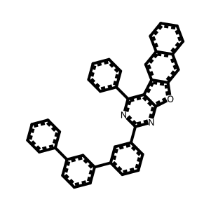 c1ccc(-c2cccc(-c3cccc(-c4nc(-c5ccccc5)c5c(n4)oc4cc6ccccc6cc45)c3)c2)cc1